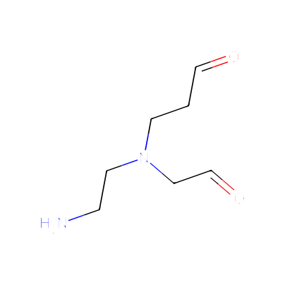 NCCN(CC=O)CCC=O